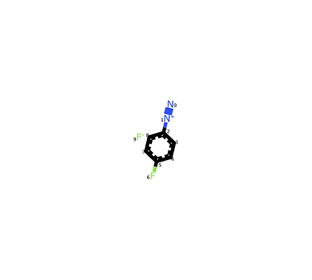 N#[N+]c1ccc(F)cc1.[F-]